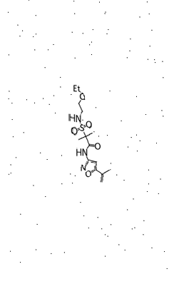 C=C(C)c1cc(NC(=O)C(C)(C)S(=O)(=O)NCCOCC)no1